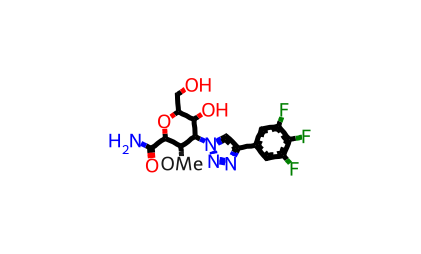 COC1C(C(N)=O)OC(CO)C(O)C1n1cc(-c2cc(F)c(F)c(F)c2)nn1